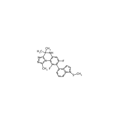 CSn1ccc2c(-c3c(F)cc4c(c3F)-n3c(C)nnc3C(C)(C)N4)cccc21